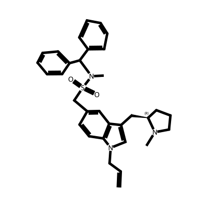 C=CCn1cc(C[C@H]2CCCN2C)c2cc(CS(=O)(=O)N(C)C(c3ccccc3)c3ccccc3)ccc21